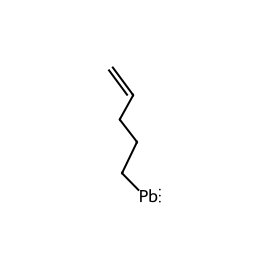 C=CCC[CH2][Pb]